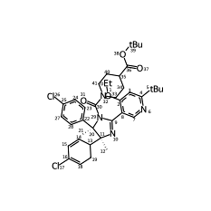 CCOc1cc(C(C)(C)C)ncc1C1=N[C@@](C)(C2C=CC(Cl)=CC2)[C@@](C)(c2ccc(Cl)cc2)N1C(=O)N1CCC(C(=O)OC(C)(C)C)CC1